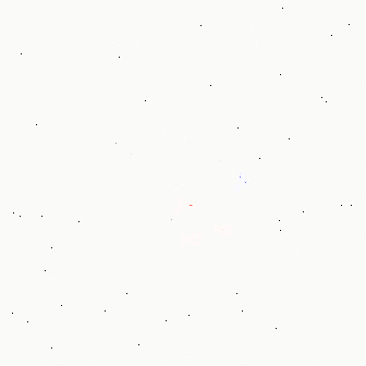 Cc1nc2ccccc2c(-c2ccc3c4c(cccc24)C2CC32)c1[C@H](OC(C)(C)C)C(=O)O